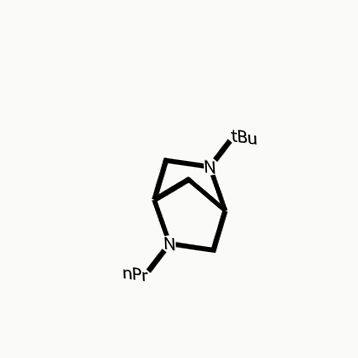 CCCN1CC2CC1CN2C(C)(C)C